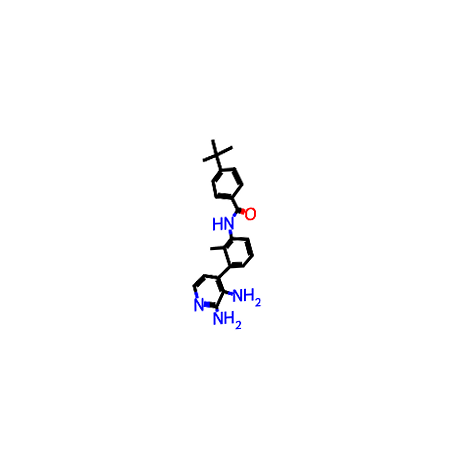 Cc1c(NC(=O)c2ccc(C(C)(C)C)cc2)cccc1-c1ccnc(N)c1N